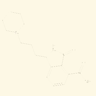 NC(=O)c1cccc2c1C(=O)NC2CCCN1CCOCC1